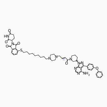 Nc1ncnc2c1c(-c1ccc(Oc3ccccc3)cc1)nn2[C@@H]1CCCN(C(=O)/C=C/CN2CCN(CCCCCCCCCSc3cccc4c3C(=O)N(C3CCC(=O)NC3=O)C4=O)CC2)C1